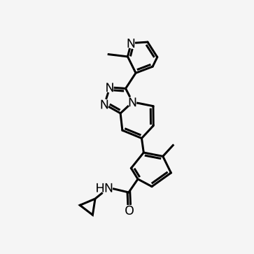 Cc1ccc(C(=O)NC2CC2)cc1-c1ccn2c(-c3cccnc3C)nnc2c1